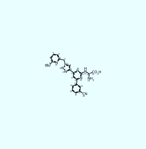 CC(C)(C)c1cccc(Cn2cc(-c3cc(-c4cccc(C#N)c4)nc(N[C@H](N)C(=O)O)n3)nn2)n1